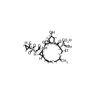 CC[C@@H]1CC(C)CC/C=C\[C@@H]2C[C@@]2(C(=O)NS(=O)(=O)C2(C)CC2)NC(=O)[C@@H]2C[C@@H](O)CN2C(=O)[C@H]1N(C(=O)O)C(C)(C)C